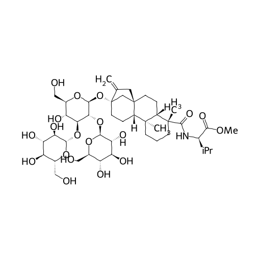 C=C1C[C@@]23CC[C@H]4[C@@](C)(CCC[C@@]4(C)C(=O)N[C@@H](C(=O)OC)C(C)C)[C@@H]2CC[C@]1(O[C@@H]1O[C@H](CO)[C@@H](O)[C@H](O[C@@H]2O[C@H](CO)[C@@H](O)[C@H](O)[C@H]2O)[C@H]1O[C@@H]1O[C@H](CO)[C@@H](O)[C@H](O)[C@H]1O)C3